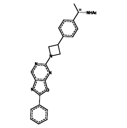 CC(=O)N[C@@H](C)c1ccc(C2CN(c3ncc4nc(-c5ccccc5)oc4n3)C2)cc1